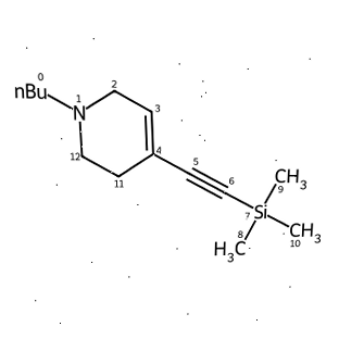 CCCCN1CC=C(C#C[Si](C)(C)C)CC1